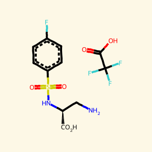 NC[C@H](NS(=O)(=O)c1ccc(F)cc1)C(=O)O.O=C(O)C(F)(F)F